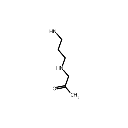 CC(=O)CNCCC[NH]